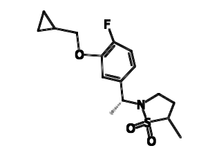 CC1CCN([C@H](C)c2ccc(F)c(OCC3CC3)c2)S1(=O)=O